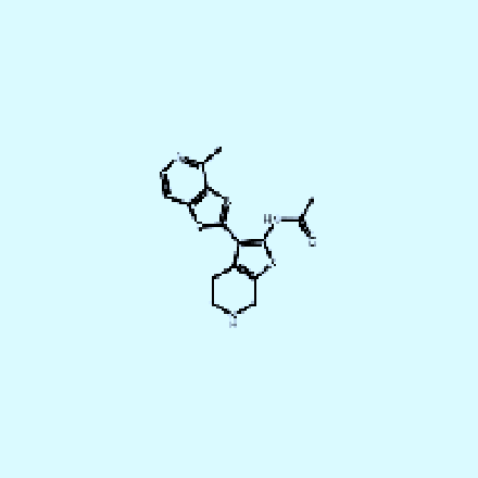 CC(=O)Nc1sc2c(c1-c1nc3c(C)nccc3s1)CCNC2